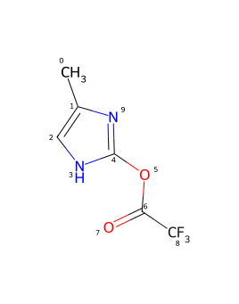 Cc1c[nH]c(OC(=O)C(F)(F)F)n1